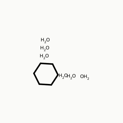 C1CCCCC1.O.O.O.O.O.O